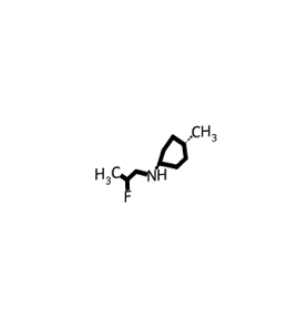 CC(F)CN[C@H]1CC[C@H](C)CC1